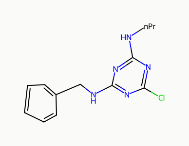 [CH2]CCNc1nc(Cl)nc(NCc2ccccc2)n1